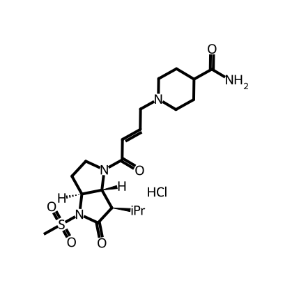 CC(C)[C@H]1C(=O)N(S(C)(=O)=O)[C@H]2CCN(C(=O)/C=C/CN3CCC(C(N)=O)CC3)[C@H]12.Cl